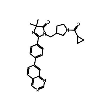 CC1(C)N=C(c2ccc(-c3ccc4cncnc4c3)cc2)N(CC2CCN(C(=O)C3CC3)C2)C1=O